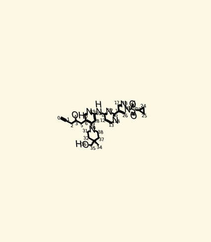 C#CCC(O)Cc1cnc(Nc2ccnc(-c3cnn(S(=O)(=O)C4CC4)c3)n2)cc1N1CCC(C)(CO)CC1